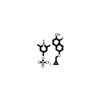 Cc1cc(C)[n+](F)c(C)c1.O=S(=O)([O-])C(F)(F)F.Oc1ccc2cc(OCC3CC3)ccc2c1F